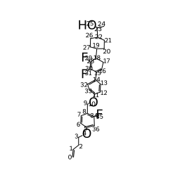 C=CCCOc1ccc(COc2ccc(C3=CCC(C4CCC(C(C)O)CC4)C(F)=C3F)cc2)c(F)c1